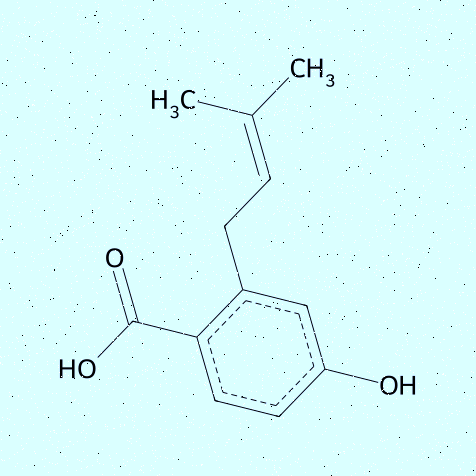 CC(C)=CCc1cc(O)ccc1C(=O)O